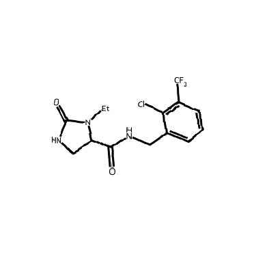 CCN1C(=O)NCC1C(=O)NCc1cccc(C(F)(F)F)c1Cl